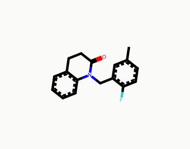 Cc1ccc(F)c(CN2C(=O)CCc3ccccc32)c1